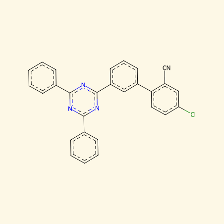 N#Cc1cc(Cl)ccc1-c1cccc(-c2nc(-c3ccccc3)nc(-c3ccccc3)n2)c1